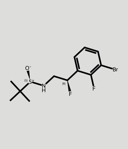 CC(C)(C)[S@@+]([O-])NC[C@H](F)c1cccc(Br)c1F